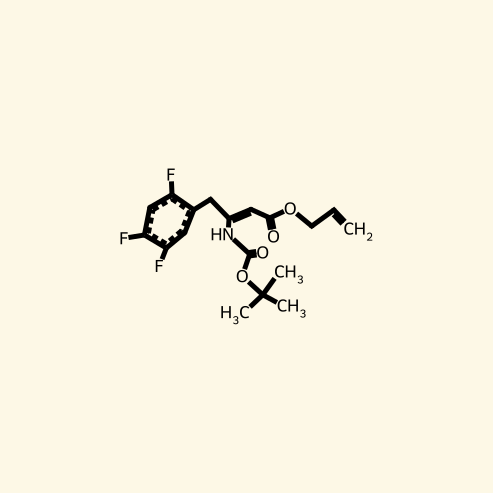 C=CCOC(=O)/C=C(/Cc1cc(F)c(F)cc1F)NC(=O)OC(C)(C)C